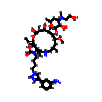 CC[C@H]1OC(=O)[C@H](C)C(=O)[C@H](C)[C@@H](O[C@@H]2OC(C)CC(N(C)CCO)C2O)[C@H](OC)C[C@@H](C)CN[C@H](C)[C@H]2N(CCCCn3cc(-c4cccc(N)c4)nn3)C(=O)O[C@]12C